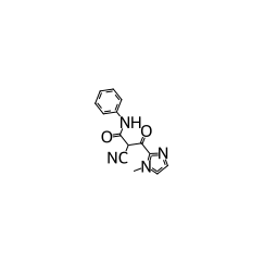 Cn1ccnc1C(=O)C(C#N)C(=O)Nc1ccccc1